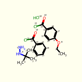 CC(C)(C)NN.CCOc1ccc(C(=O)Cl)cc1.Cl.O=C(Cl)c1ccccc1